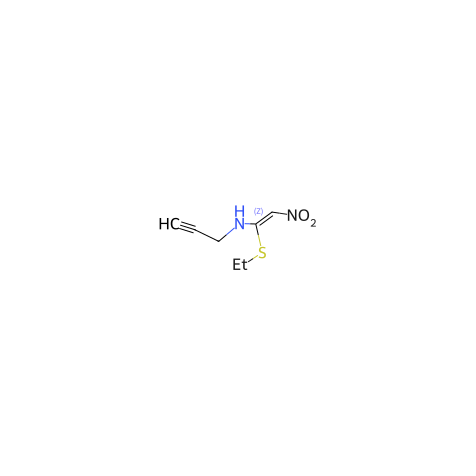 C#CCN/C(=C/[N+](=O)[O-])SCC